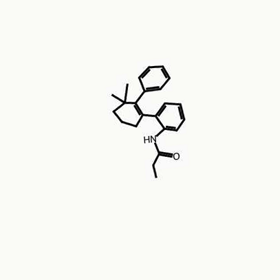 CCC(=O)Nc1ccccc1C1=C(c2ccccc2)C(C)(C)CCC1